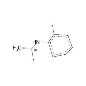 Cc1ccccc1N[C@H](C)C(F)(F)F